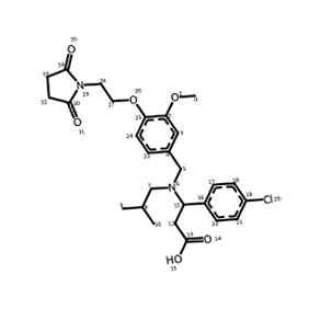 COc1cc(CN(CC(C)C)C(CC(=O)O)c2ccc(Cl)cc2)ccc1OCCN1C(=O)CCC1=O